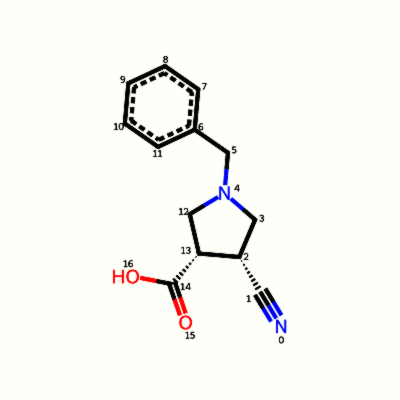 N#C[C@H]1CN(Cc2ccccc2)C[C@H]1C(=O)O